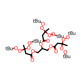 CC(C)(C)OOC(C)(CC(=O)OCC(COC(=O)CC(C)(OOC(C)(C)C)OOC(C)(C)C)OC(=O)CC(C)(OOC(C)(C)C)OOC(C)(C)C)OOC(C)(C)C